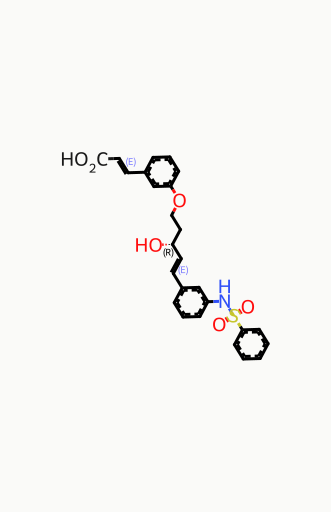 O=C(O)/C=C/c1cccc(OCC[C@@H](O)/C=C/c2cccc(NS(=O)(=O)c3ccccc3)c2)c1